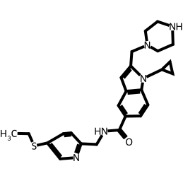 CCSc1ccc(CNC(=O)c2ccc3c(c2)cc(CN2CCNCC2)n3C2CC2)nc1